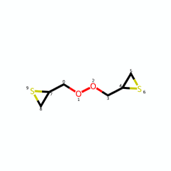 C(OOCC1CS1)C1CS1